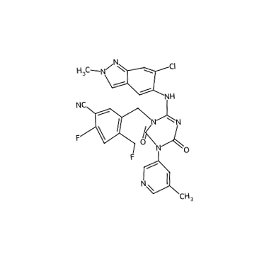 Cc1cncc(-n2c(=O)nc(Nc3cc4cn(C)nc4cc3Cl)n(Cc3cc(C#N)c(F)cc3CF)c2=O)c1